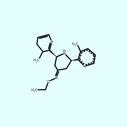 CCON=C1C[C@@H](C2=NC=CCC2C)N[C@@H](c2ncccc2C)C1